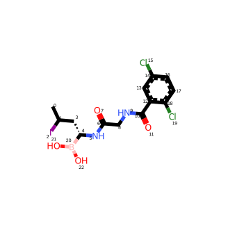 CC(I)C[C@H](NC(=O)CNC(=O)c1cc(Cl)ccc1Cl)B(O)O